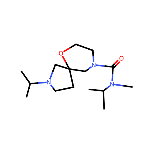 CC(C)N1CCC2(CN(C(=O)N(C)C(C)C)CCO2)C1